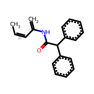 C=C(/C=C\C)NC(=O)C(c1ccccc1)c1ccccc1